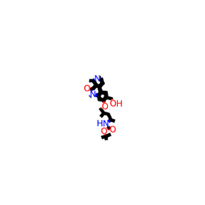 Cc1nccc2c1c(=O)n(C)c1cc(OCC(C)CC(C)NC(=O)OC(C)(C)C)c(CO)cc21